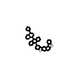 C1=CC2C(c3ccccc3)=CC=C(c3c4ccccc4c(-c4ccc5oc6cc7ccc8oc9ccccc9c8c7cc6c5c4)c4ccccc34)C2C=C1